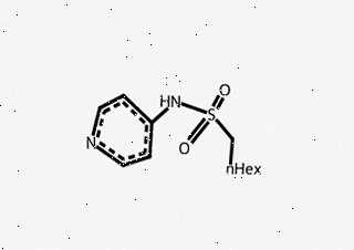 CCCCCCCS(=O)(=O)Nc1ccncc1